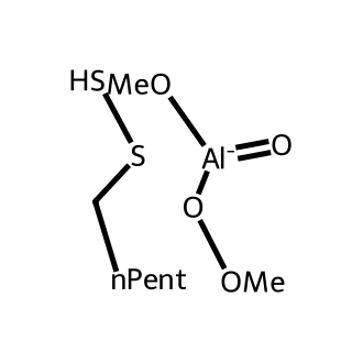 CCCCCCSS.CO[O][Al-](=[O])[O]C